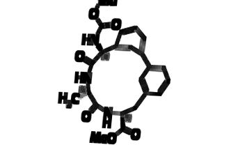 COC(=O)[C@@H]1Cc2cccc(c2)-c2cccc(c2)[C@H](NC(=O)OC(C)(C)C)C(=O)N[C@@H](C)C(=O)N1